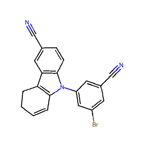 N#Cc1cc(Br)cc(-n2c3c(c4cc(C#N)ccc42)CCC=C3)c1